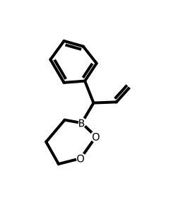 C=CC(B1CCCOO1)c1ccccc1